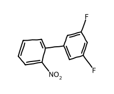 O=[N+]([O-])c1ccccc1-c1cc(F)cc(F)c1